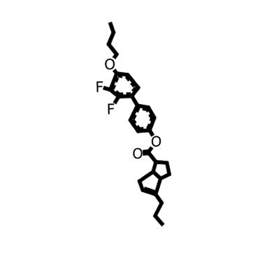 CCCCOc1ccc(-c2ccc(OC(=O)C3CCC4C(CCC)=CCC34)cc2)c(F)c1F